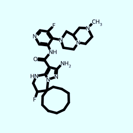 CN1CCN2CCN(c3c(F)cncc3NC(=O)c3c(N)nn4c3NCC(F)C43CCCCCCCCC3)CC2C1